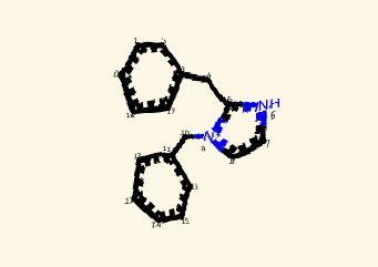 c1ccc(Cc2[nH]cc[n+]2Cc2ccccc2)cc1